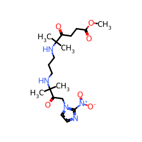 COC(=O)CCC(=O)C(C)(C)NCCCNC(C)(C)C(=O)Cn1ccnc1[N+](=O)[O-]